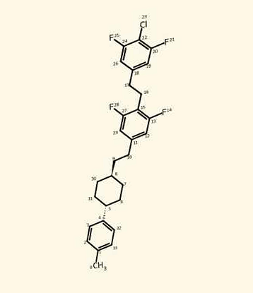 Cc1ccc([C@H]2CC[C@H](CCc3cc(F)c(CCc4cc(F)c(Cl)c(F)c4)c(F)c3)CC2)cc1